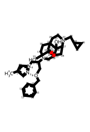 Cc1cnn(CC(COCc2ccccc2)N2CCC34CCN(CC5CC5)C(Cc5ccc(O)cc53)C4(O)CC2)c1